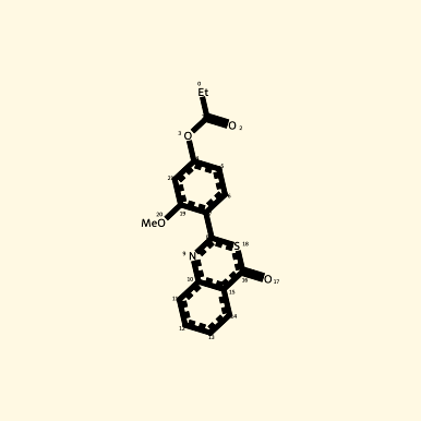 CCC(=O)Oc1ccc(-c2nc3ccccc3c(=O)s2)c(OC)c1